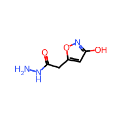 NNC(=O)Cc1cc(O)no1